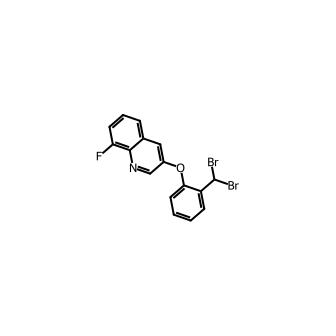 Fc1cccc2cc(Oc3ccccc3C(Br)Br)cnc12